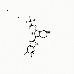 Cc1cc2nc(C3NN(OC(=O)C(F)(F)F)C4=C3CCNC4)[nH]c2cc1C